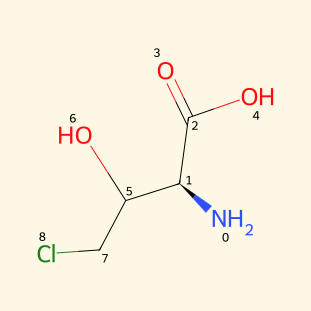 N[C@H](C(=O)O)C(O)CCl